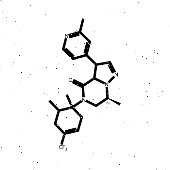 Cc1cc(C2C=NN3C2C(=O)N(C2(C)CC=C(C(F)(F)F)CC2C)C[C@@H]3C)ccn1